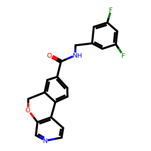 O=C(NCc1cc(F)cc(F)c1)c1ccc2c(c1)COc1cnccc1-2